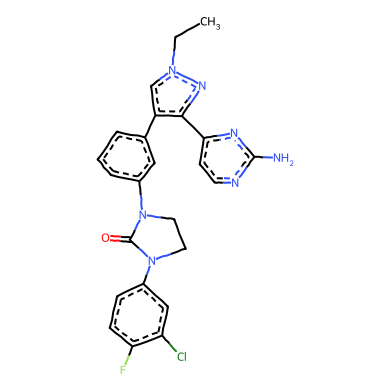 CCn1cc(-c2cccc(N3CCN(c4ccc(F)c(Cl)c4)C3=O)c2)c(-c2ccnc(N)n2)n1